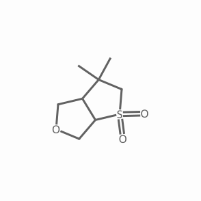 CC1(C)CS(=O)(=O)C2COCC21